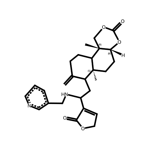 C=C1CCC2[C@@](C)(CC[C@H]3OC(=O)OC[C@@]23C)C1CC(NCc1cccnc1)C1=CCOC1=O